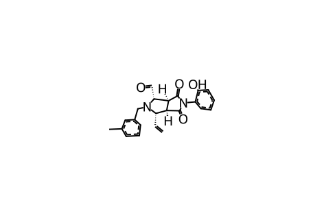 C=C[C@H]1[C@@H]2C(=O)N(c3ccccc3O)C(=O)[C@@H]2[C@@H](C=O)N1Cc1cccc(C)c1